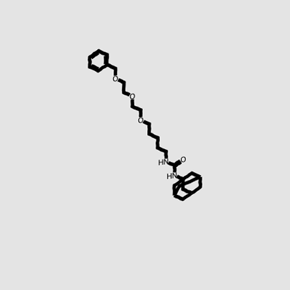 O=C(NCCCCCOCCOCCOCc1ccccc1)NC12CC3CC(CC(C3)C1)C2